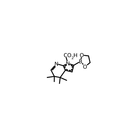 CC1(C)C=Nc2c(cc(B3OCCO3)n2C(=O)O)C1(C)C